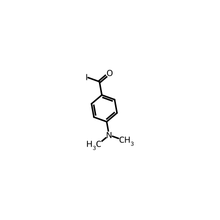 CN(C)c1ccc(C(=O)I)cc1